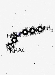 CC(=O)Nc1nccc(-c2ccc3c(/C=C/c4ccc(-c5ccc(N6CCN(C)CC6)cc5)cc4)n[nH]c3c2)n1